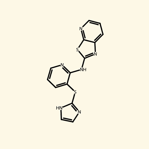 c1cnc(Nc2nc3cccnc3s2)c(Sc2ncc[nH]2)c1